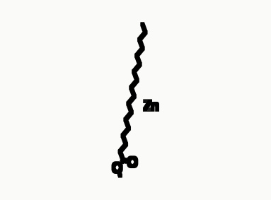 CCCCCCCCCCCCCCCCCC(=O)OC.[Zn]